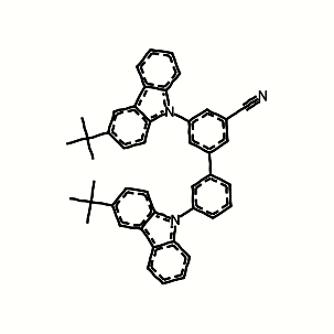 CC(C)(C)c1ccc2c(c1)c1ccccc1n2-c1cccc(-c2cc(C#N)cc(-n3c4ccccc4c4cc(C(C)(C)C)ccc43)c2)c1